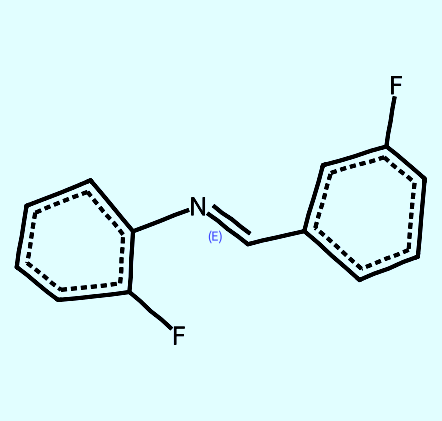 Fc1cccc(/C=N/c2ccccc2F)c1